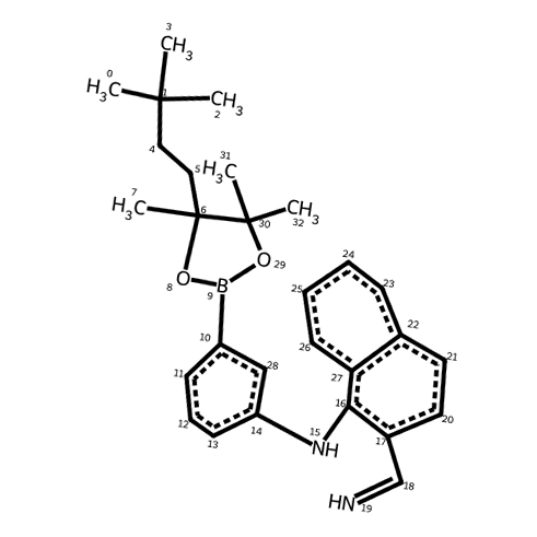 CC(C)(C)CCC1(C)OB(c2cccc(Nc3c(C=N)ccc4ccccc34)c2)OC1(C)C